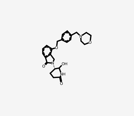 O=C1CC[C@H](N2Cc3c(OCc4ccc(CN5CCOCC5)cc4)cccc3C2=O)C(O)N1